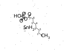 CCCCCCCC(=O)OS(=O)(=O)O.[SnH2]